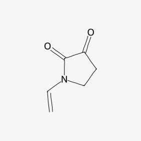 C=CN1CCC(=O)C1=O